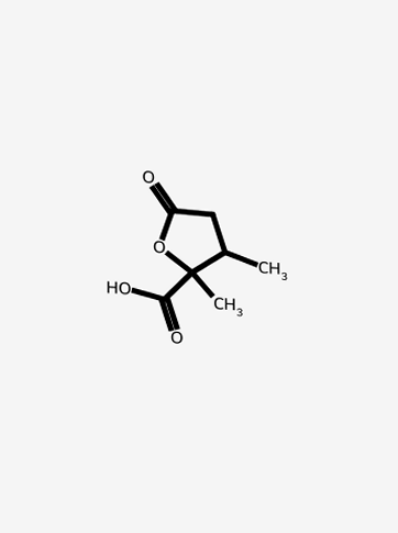 CC1CC(=O)OC1(C)C(=O)O